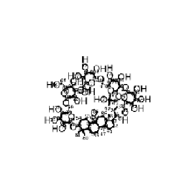 C[C@H](CC[C@@H](O[C@@H]1O[C@H](CO[C@@H]2O[C@H](CO)[C@@H](O)[C@H](O)[C@H]2O)[C@@H](O)[C@H](O)[C@H]1O[C@H]1O[C@@H](CO)[C@H](O)[C@@H](O)[C@@H]1O)C(C)(C)O)C1CC[C@@]2(C)C3CC=C4C(CC[C@H](O[C@@H]5O[C@H](CO[C@@H]6O[C@H](CO)[C@@H](O)[C@H](O)[C@H]6O)[C@@H](O)[C@H](O)[C@H]5O)C4(C)C)[C@]3(C)C(=O)C[C@]12C